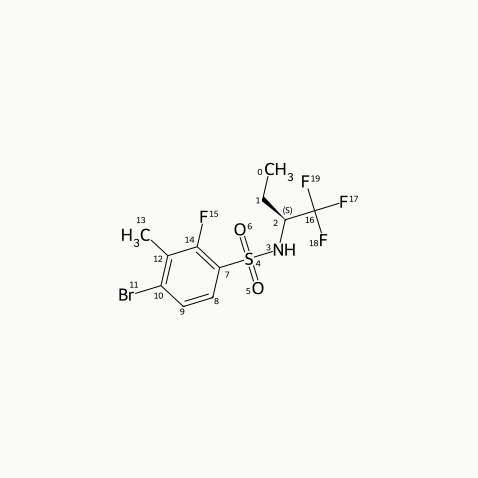 CC[C@H](NS(=O)(=O)c1ccc(Br)c(C)c1F)C(F)(F)F